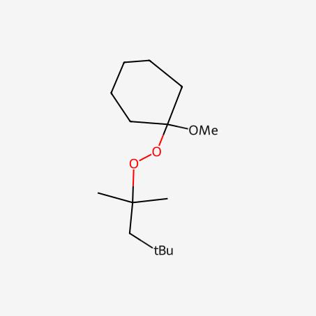 COC1(OOC(C)(C)CC(C)(C)C)CCCCC1